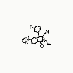 C=CCn1c(C#N)c(-c2cccc(F)c2)c2cc([N+]3(C)C=CC=N3)ccc2c1=O